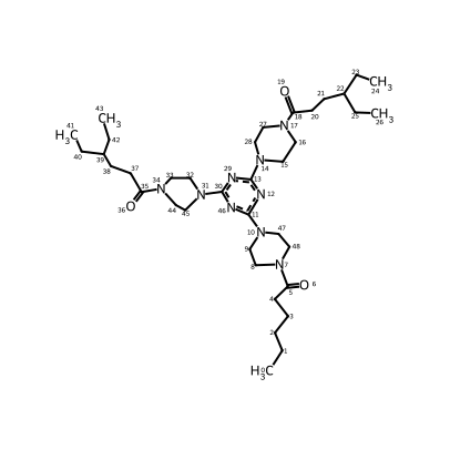 CCCCCC(=O)N1CCN(c2nc(N3CCN(C(=O)CCC(CC)CC)CC3)nc(N3CCN(C(=O)CCC(CC)CC)CC3)n2)CC1